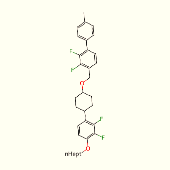 CCCCCCCOc1ccc(C2CCC(OCc3ccc(-c4ccc(C)cc4)c(F)c3F)CC2)c(F)c1F